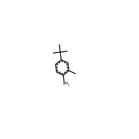 Bc1ccc(C(C)(C)C)cc1C